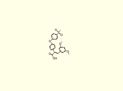 COc1cc(/C=C(/C(=O)O)c2ccc(Oc3ccc(S(C)(=O)=O)cc3)cc2)cc(OC)c1